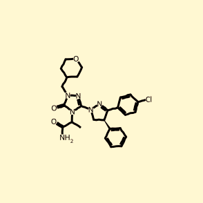 CC(C(N)=O)n1c(N2C[C@H](c3ccccc3)C(c3ccc(Cl)cc3)=N2)nn(CC2CCOCC2)c1=O